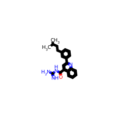 CC(C)CCc1cccc(-c2cc(C(=O)NC(=N)N)c3ccccc3n2)c1